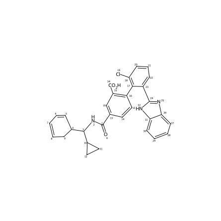 O=C(NC(C1C=CC=CC1)C1CC1)c1ccc(-c2c(Cl)cccc2-c2nc3ccccc3[nH]2)c(C(=O)O)c1